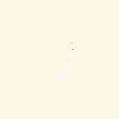 CCOC(=O)N1CCN(C(=O)CN(C)C(=O)OCc2ccccc2)CC1